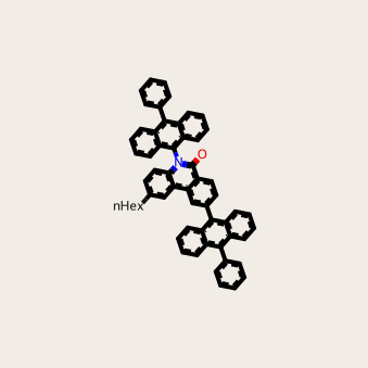 CCCCCCc1ccc2c(c1)c1cc(-c3c4ccccc4c(-c4ccccc4)c4ccccc34)ccc1c(=O)n2-c1c2ccccc2c(-c2ccccc2)c2ccccc12